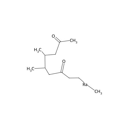 [CH3][Ra][CH2]CC(=O)CC(C)C(C)CC(C)=O